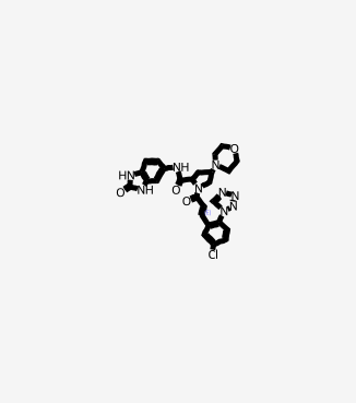 O=C(Nc1ccc2[nH]c(=O)[nH]c2c1)C1CC(N2CCOCC2)CN1C(=O)/C=C/c1cc(Cl)ccc1-n1cnnn1